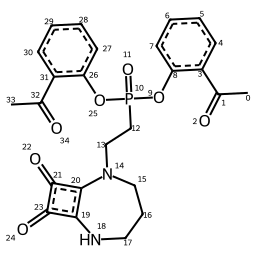 CC(=O)c1ccccc1OP(=O)(CCN1CCCNc2c1c(=O)c2=O)Oc1ccccc1C(C)=O